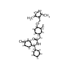 Cc1noc(C)c1COc1ccc(CC(=O)NC(c2ccccc2)c2ccc(Cl)cc2)cc1F